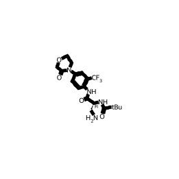 CC(C)(C)C(=O)N[C@H](CN)C(=O)Nc1ccc(N2CCOCC2=O)cc1C(F)(F)F